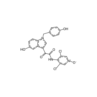 O=C(Nc1c(Cl)c[n+]([O-])cc1Cl)C(=O)c1cn(Cc2ccc(O)cc2)c2ccc(O)cc12